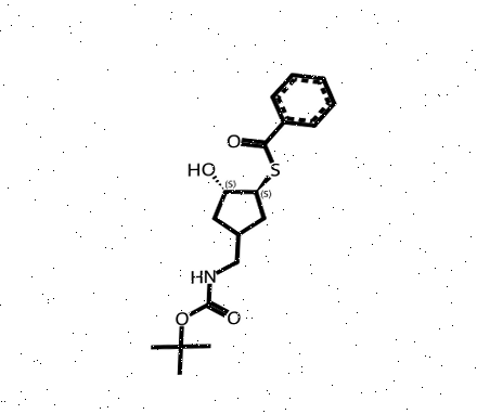 CC(C)(C)OC(=O)NCC1C[C@H](SC(=O)c2ccccc2)[C@@H](O)C1